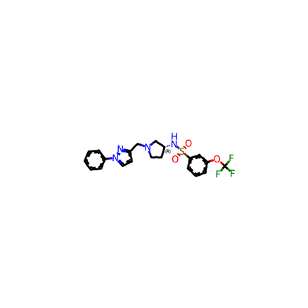 O=S(=O)(N[C@@H]1CCN(Cc2ccn(-c3ccccc3)n2)C1)c1cccc(OC(F)(F)F)c1